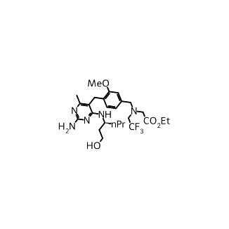 CCC[C@@H](CCO)Nc1nc(N)nc(C)c1Cc1ccc(CN(CC(=O)OCC)CC(F)(F)F)cc1OC